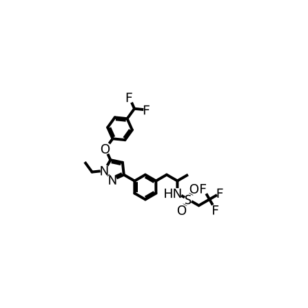 CCn1nc(-c2cccc(CC(C)NS(=O)(=O)CC(F)(F)F)c2)cc1Oc1ccc(C(F)F)cc1